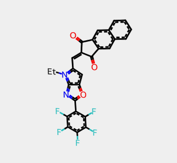 CCn1c(C=C2C(=O)c3cc4ccccc4cc3C2=O)cc2oc(-c3c(F)c(F)c(F)c(F)c3F)nc21